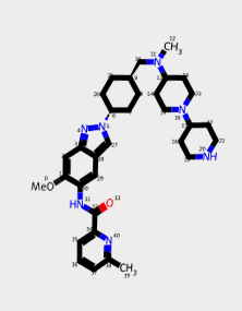 COc1cc2nn([C@H]3CC[C@H](CN(C)C4CCN(C5CCNCC5)CC4)CC3)cc2cc1NC(=O)c1cccc(C)n1